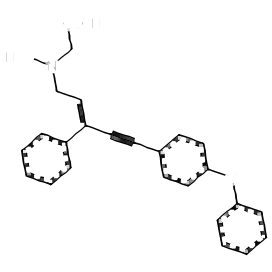 CN(C/C=C(/C#Cc1ccc(Oc2ccccc2)cc1)c1ccccc1)CC(=O)O